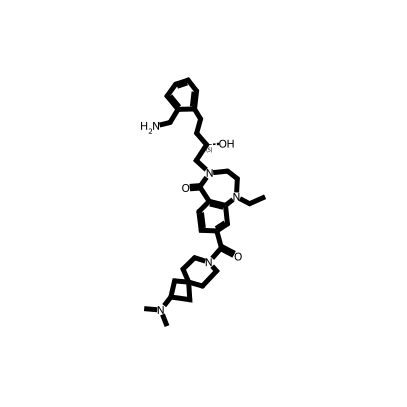 CCN1CCN(C[C@@H](O)CCc2ccccc2CN)C(=O)c2ccc(C(=O)N3CCC4(CC3)CC(N(C)C)C4)cc21